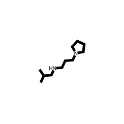 CC(C)CNCCCN1CCCC1